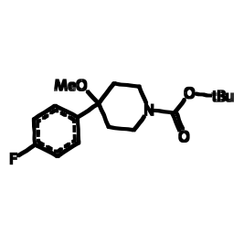 COC1(c2ccc(F)cc2)CCN(C(=O)OC(C)(C)C)CC1